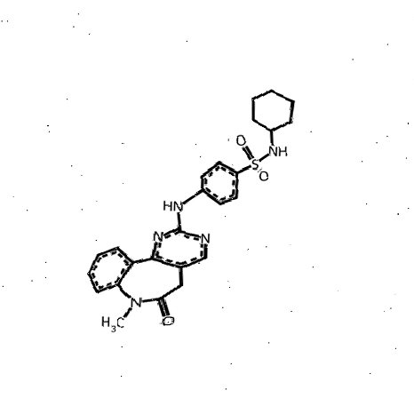 CN1C(=O)Cc2cnc(Nc3ccc(S(=O)(=O)NC4CCCCC4)cc3)nc2-c2ccccc21